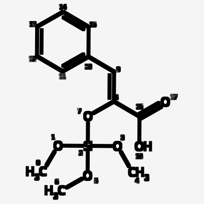 CO[Si](OC)(OC)OC(=Cc1ccccc1)C(=O)O